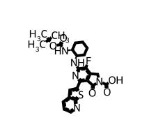 CC(C)(C)OC(=O)N[C@H]1CCCC[C@H]1Nc1nc(-c2cc3cccnc3s2)c2c(c1F)CN(C(=O)O)C2=O